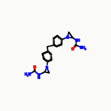 NC(=O)NC1CN1c1ccc(Cc2ccc(N3CC3NC(N)=O)cc2)cc1